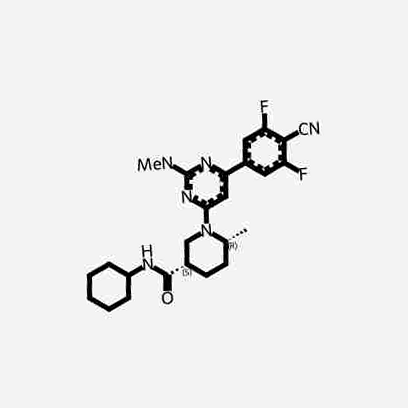 CNc1nc(-c2cc(F)c(C#N)c(F)c2)cc(N2C[C@@H](C(=O)NC3CCCCC3)CC[C@H]2C)n1